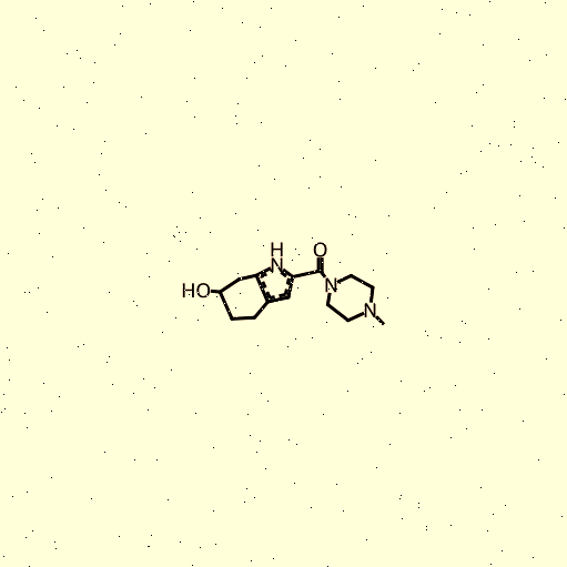 CN1CCN(C(=O)c2cc3c([nH]2)CC(O)CC3)CC1